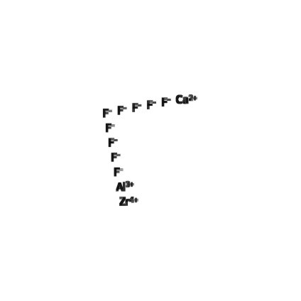 [Al+3].[Ca+2].[F-].[F-].[F-].[F-].[F-].[F-].[F-].[F-].[F-].[Zr+4]